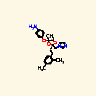 Cc1ccc(CC[C@@]2(Cn3ccnc3)OC[C@@](C)(Oc3ccc(N)cc3)O2)c(C)c1